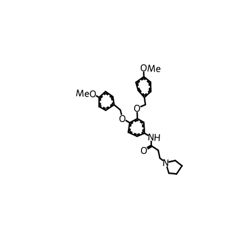 COc1ccc(COc2ccc(NC(=O)CCN3CCCC3)cc2OCc2ccc(OC)cc2)cc1